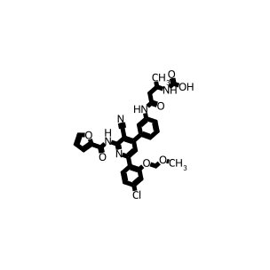 COCOc1cc(Cl)ccc1-c1cc(-c2cccc(NC(=O)CC(C)NC(=O)O)c2)c(C#N)c(NC(=O)c2ccco2)n1